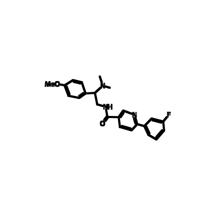 COc1ccc(C(CNC(=O)c2ccc(-c3cccc(F)c3)nc2)N(C)C)cc1